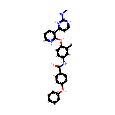 CNc1nccc(-c2cccnc2Oc2ccc(NC(=O)c3ccc(Oc4ccccc4)cc3)cc2C)n1